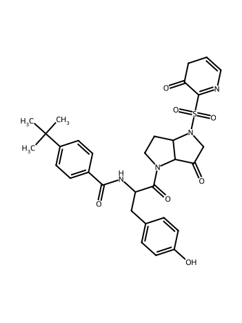 CC(C)(C)c1ccc(C(=O)NC(Cc2ccc(O)cc2)C(=O)N2CCC3C2C(=O)CN3S(=O)(=O)C2=NC=CCC2=O)cc1